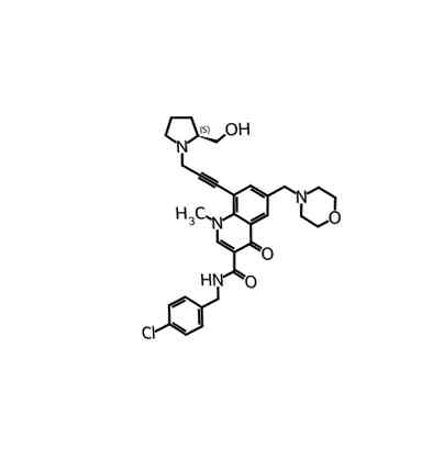 Cn1cc(C(=O)NCc2ccc(Cl)cc2)c(=O)c2cc(CN3CCOCC3)cc(C#CCN3CCC[C@H]3CO)c21